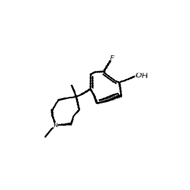 CN1CCC(C)(c2ccc(O)c(F)c2)CC1